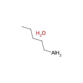 CCCC[CH2][AlH2].O